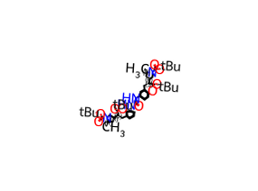 C[C@@H]1C[C@H]([C@H](Cc2cccc(NC(=O)Nc3cccc(C[C@H](C(=O)OC(C)(C)C)[C@H]4C[C@@H](C)N(C(=O)OC(C)(C)C)C4)c3)c2)C(=O)OC(C)(C)C)CN1C(=O)OC(C)(C)C